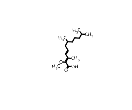 COC(C(=O)O)=C(C)C=CCC(C)CCCC(C)C